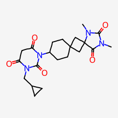 CN1C(=O)N(C)C2(CC3(CCC(N4C(=O)CC(=O)N(CC5CC5)C4=O)CC3)C2)C1=O